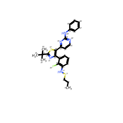 CCCSNc1cccc(-c2nc(C(C)(C)C)sc2-c2ccnc(Nc3ccccc3)n2)c1F